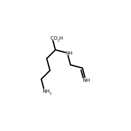 N=CCNC(CCCN)C(=O)O